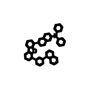 c1ccc(N(c2ccccc2)c2ccc3cc(-c4cccc5c4oc4c(-c6cccc(-c7cccc8ccccc78)c6)cccc45)ccc3c2)cc1